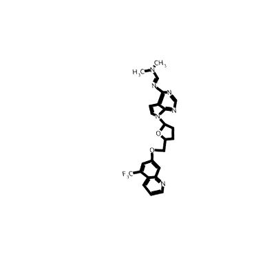 CN(C)/C=N/c1ncnc2c1ccn2C1CCC(COc2cc(C(F)(F)F)c3cccnc3c2)O1